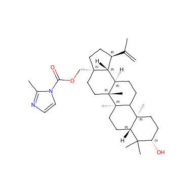 C=C(C)[C@@H]1CC[C@]2(COC(=O)n3ccnc3C)CC[C@]3(C)[C@H](CCC4[C@@]5(C)CC[C@H](O)C(C)(C)[C@@H]5CC[C@]43C)[C@@H]12